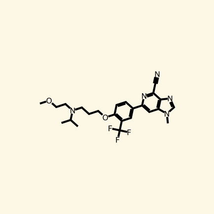 COCCN(CCCOc1ccc(-c2cc3c(ncn3C)c(C#N)n2)cc1C(F)(F)F)C(C)C